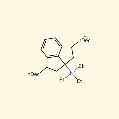 CCCCCCCCCCCCC(CCCCCCCCCCCC)(c1ccccc1)[N+](CC)(CC)CC.[Cl-]